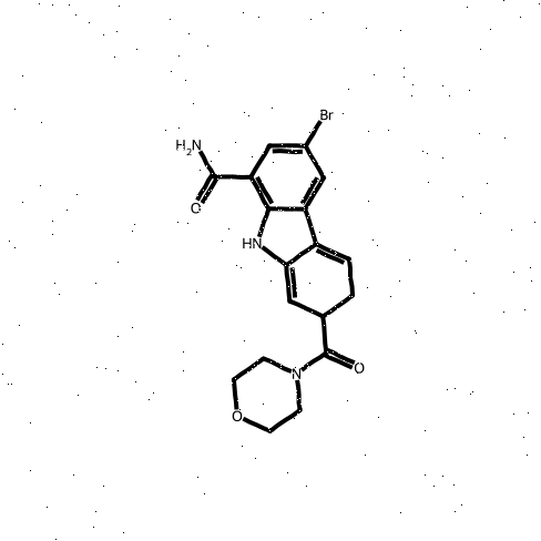 NC(=O)c1cc(Br)cc2c3c([nH]c12)=CC(C(=O)N1CCOCC1)CC=3